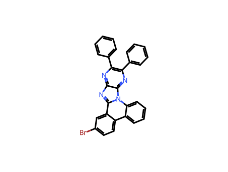 Brc1ccc2c3ccccc3n3c4nc(-c5ccccc5)c(-c5ccccc5)nc4nc3c2c1